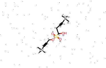 C[Si](C)(C)C#CCOS(=O)(=O)C(O)CC#C[Si](C)(C)C